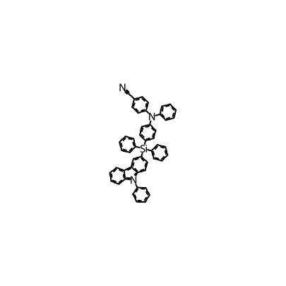 N#Cc1ccc(N(c2ccccc2)c2ccc([Si](c3ccccc3)(c3ccccc3)c3ccc4c(c3)c3ccccc3n4-c3ccccc3)cc2)cc1